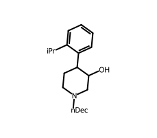 CCCCCCCCCCN1CCC(c2ccccc2C(C)C)C(O)C1